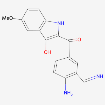 COc1ccc2[nH]c(C(=O)c3ccc(N)c(C=N)c3)c(O)c2c1